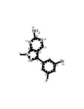 Cn1nc(-c2cc(F)cc(Br)c2)c2cnc(N)nc21